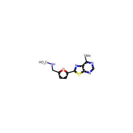 CSc1ncnc2sc(-c3ccc(CNC(=O)O)o3)nc12